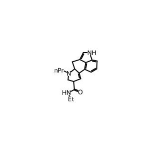 CCCN1CC(C(=O)NCC)C=C2c3cccc4[nH]cc(c34)CC21